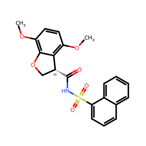 COc1ccc(OC)c2c1OC[C@H]2C(=O)NS(=O)(=O)c1cccc2ccccc12